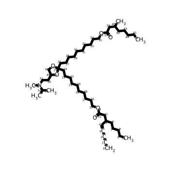 C=C=C=C=CC(CCCCC)CC(=O)OCCCCCCCCCCC1(CCCCCCCCCCOC(=O)CC(C)CCCCC)OCC(CCN(C)C(C)C)O1